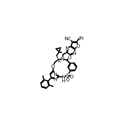 Cc1cccc(C)c1-c1cc2nc(n1)NS(=O)(=O)c1cccc(c1)C(=O)N(Cc1cnc3oc(C(C)C)c(C#N)c3n1)[C@H](CC1(C)CC1)CO2